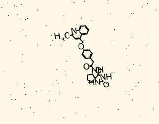 Cc1cc(COc2ccc(CC(=O)N[C@H]3CCC[C@@]34NC(=O)NC4=O)cc2)c2ccccc2n1